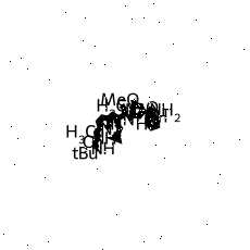 COc1cc(C(=O)N2[C@H]3CC[C@@H]2[C@H](N)C3)cc2nc(-c3cc4ccc([C@@H](C)NC(=O)NC(C)(C)C)nc4n3CC3CC3)c(C)n12